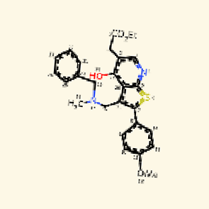 CCOC(=O)Cc1cnc2sc(-c3ccc(OC)cc3)c(CN(C)Cc3ccccc3)c2c1O